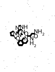 NC(=O)CC(N)C(=O)N1CCc2cccc(OC[C@H]3CCCN3c3ncnc4[nH]cnc34)c2C1